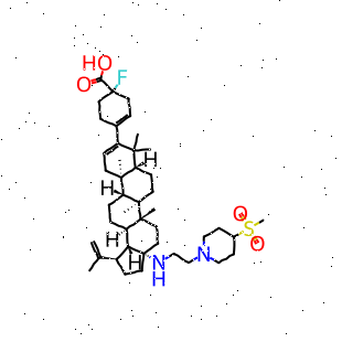 C=C(C)[C@@H]1CC[C@]2(NCCN3CCC(S(C)(=O)=O)CC3)CC[C@]3(C)[C@H](CC[C@@H]4[C@@]5(C)CC=C(C6=CCC(F)(C(=O)O)CC6)C(C)(C)[C@@H]5CC[C@]43C)[C@@H]12